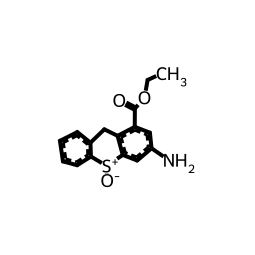 CCOC(=O)c1cc(N)cc2c1Cc1ccccc1[S+]2[O-]